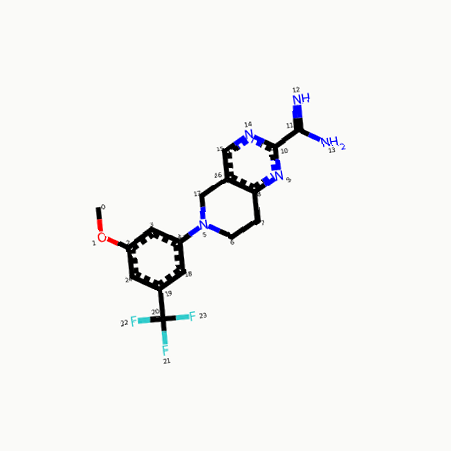 COc1cc(N2CCc3nc(C(=N)N)ncc3C2)cc(C(F)(F)F)c1